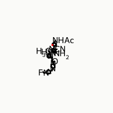 CC(=O)Nc1ccc(-c2nc([SH](C)c3cccc(CCC(=O)N4CCN(CC5CCN(CCF)CC5)CC4)n3)nc(N)c2C#N)cc1